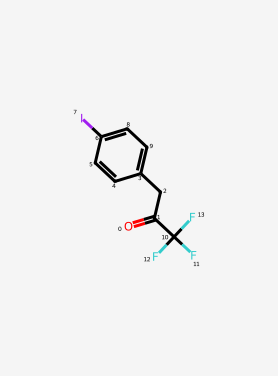 O=C(Cc1ccc(I)cc1)C(F)(F)F